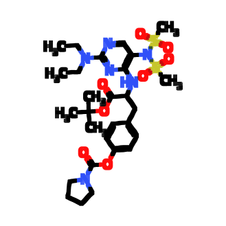 CCN(CC)c1ncc(N(S(C)(=O)=O)S(C)(=O)=O)c(NC(Cc2ccc(OC(=O)N3CCCC3)cc2)C(=O)OC(C)(C)C)n1